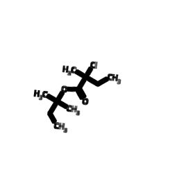 CCC(C)(C)OC(=O)C(C)(Cl)CC